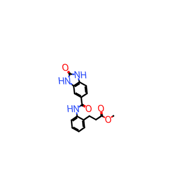 COC(=O)CCc1ccccc1NC(=O)c1ccc2[nH]c(=O)[nH]c2c1